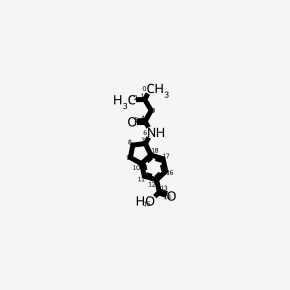 CC(C)CC(=O)NC1CCc2cc(C(=O)O)ccc21